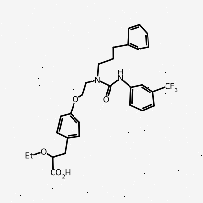 CCOC(Cc1ccc(OCCN(CCCc2ccccc2)C(=O)Nc2cccc(C(F)(F)F)c2)cc1)C(=O)O